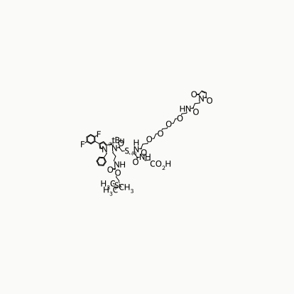 CC(C)(C)[C@H](c1cc(-c2cc(F)ccc2F)cn1Cc1ccccc1)N(CCCNC(=O)OCC[Si](C)(C)C)C(=O)CSC[C@H](NC(=O)CCOCCOCCOCCOCCNC(=O)CCN1C(=O)C=CC1=O)C(=O)NCCC(=O)O